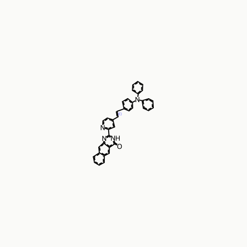 O=c1[nH]c(-c2cc(/C=C/c3ccc(N(c4ccccc4)c4ccccc4)cc3)ccn2)nc2cc3ccccc3cc12